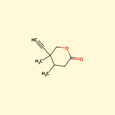 C#CC1(C)COC(=O)CC1C